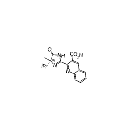 CC(C)[C@@]1(C)N=C(c2nc3ccccc3cc2C(=O)O)NC1=O